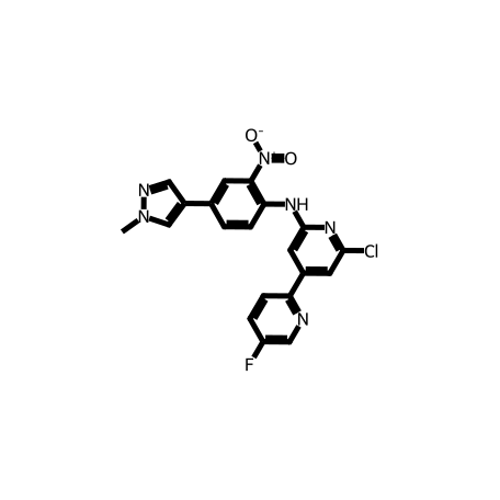 Cn1cc(-c2ccc(Nc3cc(-c4ccc(F)cn4)cc(Cl)n3)c([N+](=O)[O-])c2)cn1